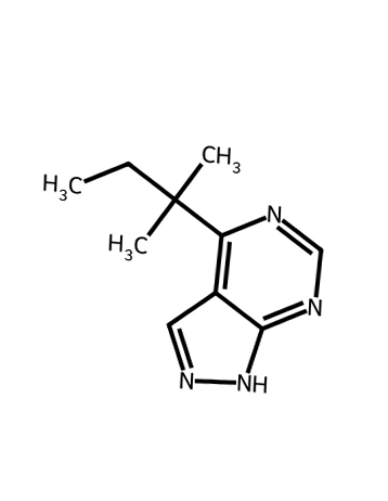 CCC(C)(C)c1ncnc2[nH]ncc12